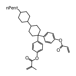 C=CC(=O)Oc1ccc(C2(c3ccc(OC(=O)C(=C)C)cc3)CCC(C3CCC(CCCCC)CC3)CC2)cc1